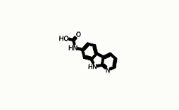 O=C(O)Nc1ccc2c(c1)[nH]c1ncccc12